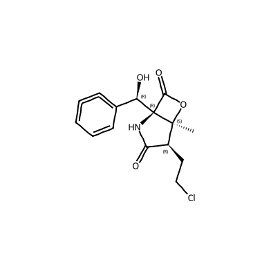 C[C@@]12OC(=O)[C@]1([C@H](O)C1=C=C=CC=C1)NC(=O)[C@@H]2CCCl